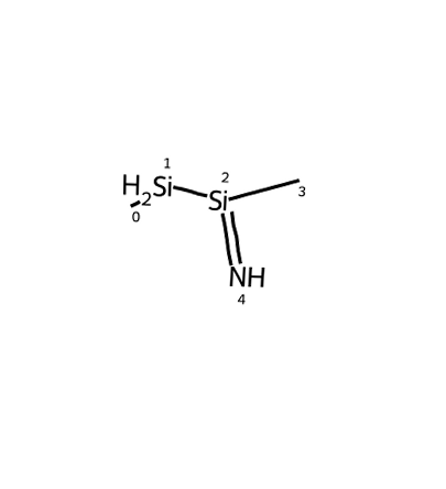 C[SiH2][Si](C)=N